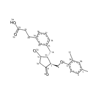 Cc1ccc(OC[C@H]2C(=O)CC(Cl)[C@@H]2Cc2cccc(CCC(=O)O)c2)c(C)c1